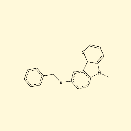 CN1C2=CC=CSC2c2cc(SCc3ccccc3)ccc21